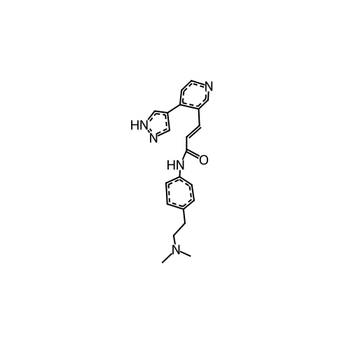 CN(C)CCc1ccc(NC(=O)/C=C/c2cnccc2-c2cn[nH]c2)cc1